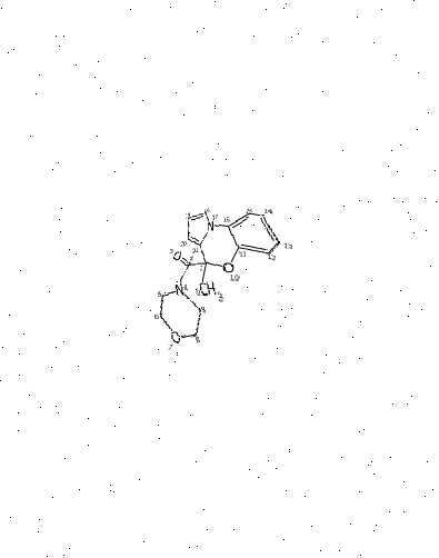 CC1(C(=O)N2CCOCC2)Oc2ccccc2-n2cccc21